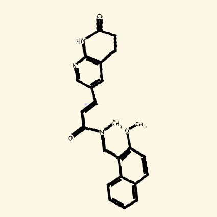 COc1ccc2ccccc2c1CN(C)C(=O)/C=C/c1cnc2c(c1)CCC(=O)N2